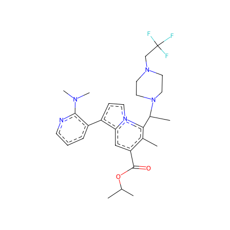 Cc1c(C(=O)OC(C)C)cc2c(-c3cccnc3N(C)C)ccn2c1C(C)N1CCN(CC(F)(F)F)CC1